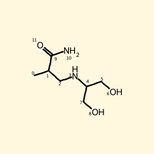 CC(CNC(CO)CO)C(N)=O